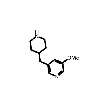 COc1cncc(CC2CCNCC2)c1